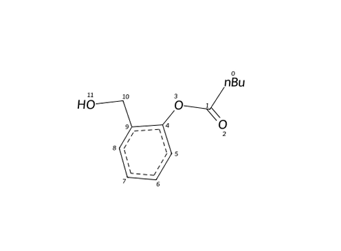 CCCCC(=O)Oc1ccccc1CO